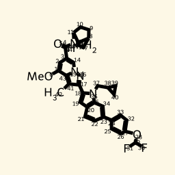 COc1cc(C(=O)N2CC3CCC2[C@@H]3N)cn2nc(-c3cc4ccc(-c5ccc(OC(F)F)cc5)cc4n3CC3CC3)c(C)c12